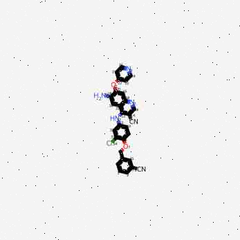 N#Cc1cccc(COc2ccc(Nc3c(C#N)cnc4cc(Oc5ccncc5)c(N)cc34)cc2Cl)c1